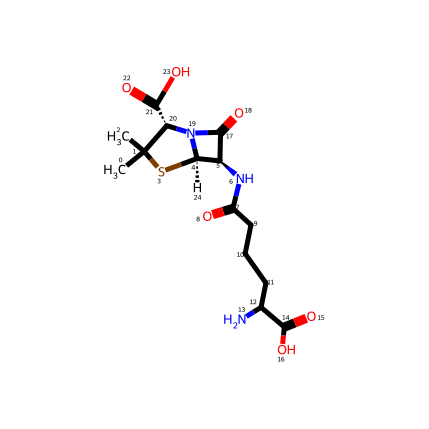 CC1(C)S[C@@H]2[C@H](NC(=O)CCCC(N)C(=O)O)C(=O)N2[C@H]1C(=O)O